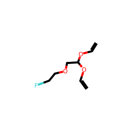 C=COC(COCCF)OC=C